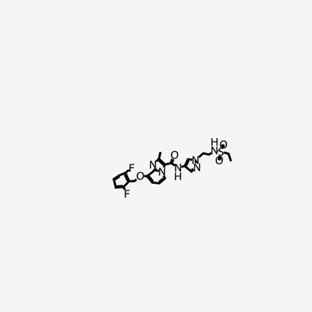 CCS(=O)(=O)NCCn1cc(NC(=O)c2c(C)nc3c(OCc4c(F)cccc4F)cccn23)cn1